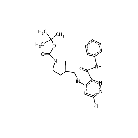 CC(C)(C)OC(=O)N1CCC(CNc2cc(Cl)nnc2C(=O)Nc2ccccc2)C1